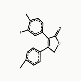 Cc1ccc(C2=C(c3ccc(C)c(F)c3)C(=O)OC2)cc1